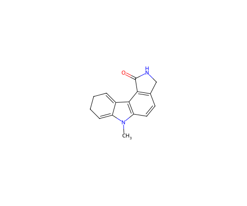 Cn1c2c(c3c4c(ccc31)CNC4=O)=CCCC=2